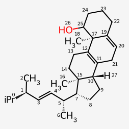 CC(C)[C@@H](C)/C=C/[C@@H](C)[C@H]1CC[C@H]2C3=C(CC[C@]12C)[C@]1(C)C(=CC3)CCCC1O